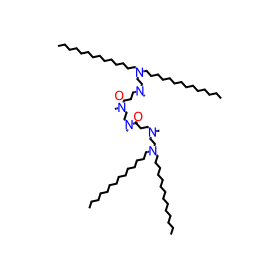 CCCCCCCCCCCCCCN(CCCCCCCCCCCCCC)CCN(C)CCC(=O)N(C)CCN(C)C(=O)CCN(C)CCN(CCCCCCCCCCCCCC)CCCCCCCCCCCCCC